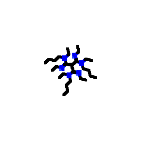 CCCCN(CC)[C](=NCC)[Y]([C](=NCC)N(CC)CCCC)[C](=NCC)N(CC)CCCC